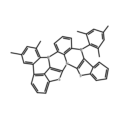 Cc1cc(C)c(B2c3cccc4c3N(c3sc5ccccc5c32)c2sc3cccc5c3c2B4c2c(C)cc(C)cc2-5)c(C)c1